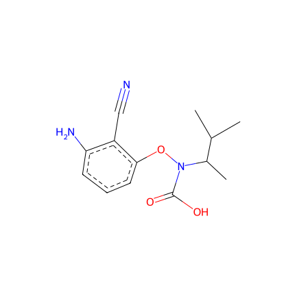 CC(C)C(C)N(Oc1cccc(N)c1C#N)C(=O)O